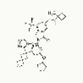 Cn1cnnc1C1(c2cc(OC3CCCC3)nc(N3Cc4c(cc(CNC5(C)CCC5)cc4C(F)(F)F)C3=O)c2)CC2(COC2)C1